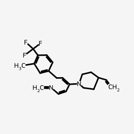 C=CC1CCN(C(/C=C\N=C)=C/Cc2ccc(C(F)(F)F)c(C)c2)CC1